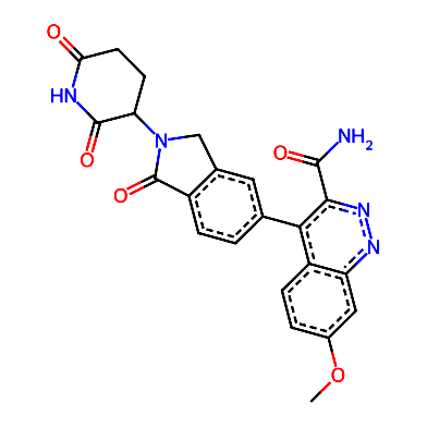 COc1ccc2c(-c3ccc4c(c3)CN(C3CCC(=O)NC3=O)C4=O)c(C(N)=O)nnc2c1